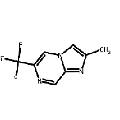 Cc1cn2cc(C(F)(F)F)ncc2n1